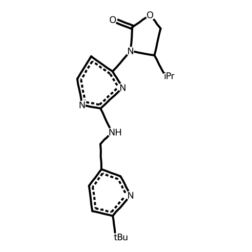 CC(C)C1COC(=O)N1c1ccnc(NCc2ccc(C(C)(C)C)nc2)n1